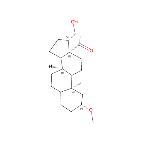 CO[C@@H]1CCC2CC[C@@H]3C(CC[C@@]4(C(C)=O)C3CC[C@@H]4CO)[C@@]2(C)C1